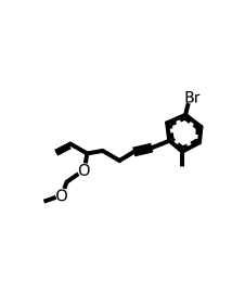 C=CC(CCC#Cc1cc(Br)ccc1C)OCOC